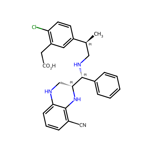 C[C@@H](CN[C@H](c1ccccc1)[C@H]1CNc2cccc(C#N)c2N1)c1ccc(Cl)c(CC(=O)O)c1